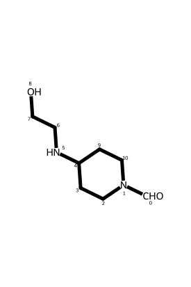 O=CN1CCC(NCCO)CC1